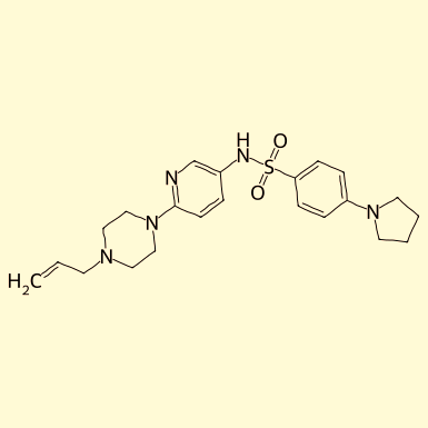 C=CCN1CCN(c2ccc(NS(=O)(=O)c3ccc(N4CCCC4)cc3)cn2)CC1